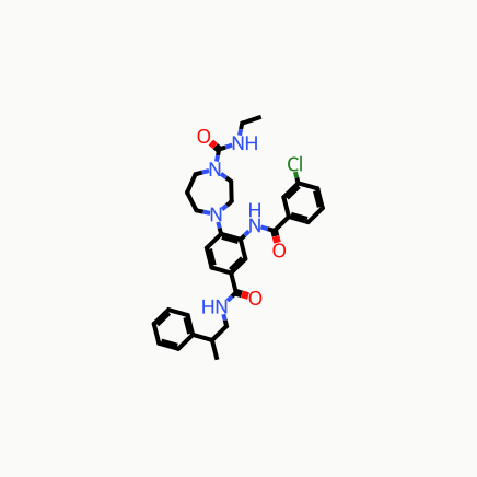 CCNC(=O)N1CCCN(c2ccc(C(=O)NCC(C)c3ccccc3)cc2NC(=O)c2cccc(Cl)c2)CC1